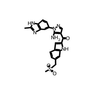 Cc1nc2cc(-n3ncc(C(=O)c4cc5ccc(CS(C)(=O)=O)cc5[nH]4)c3N)ccc2[nH]1